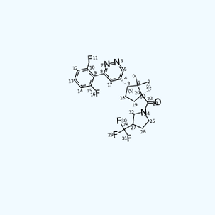 CC1(C)[C@@H](c2cnnc(-c3c(F)cccc3F)c2)CC[C@]1(C)C(=O)N1CCC(C(F)(F)F)C1